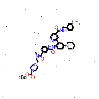 CN(CCN1CCN(C(=O)OC(C)(C)C)CC1)C(=O)c1cccc(C(=O)Nc2ccc(N3CCCCC3)cc2-c2cc(C(=O)NCc3cccc(C(F)(F)F)c3)ccn2)c1